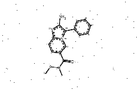 CON(C)C(=O)c1ccc2nc(N)c(-c3ccccc3)n2c1